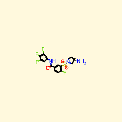 N[C@H]1CCN(S(=O)(=O)c2cc(C(=O)Nc3cc(F)c(F)c(F)c3)ccc2F)C1